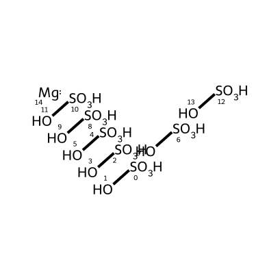 O=S(=O)(O)O.O=S(=O)(O)O.O=S(=O)(O)O.O=S(=O)(O)O.O=S(=O)(O)O.O=S(=O)(O)O.O=S(=O)(O)O.[Mg]